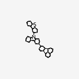 c1cc2c3c(cccc3c1)-c1cc(-c3ccc4c(c3)c3ccccc3n4-c3ccc4sc5ccccc5c4c3)ccc1-2